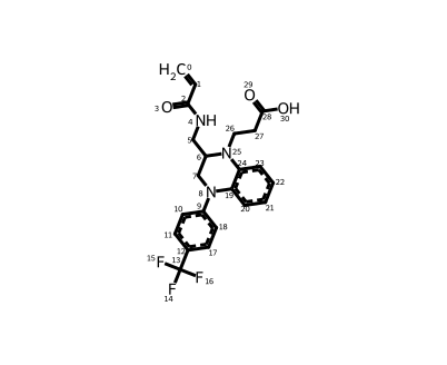 C=CC(=O)NCC1CN(c2ccc(C(F)(F)F)cc2)c2ccccc2N1CCC(=O)O